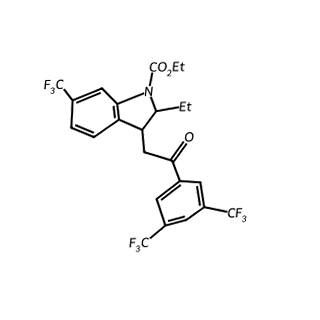 CCOC(=O)N1c2cc(C(F)(F)F)ccc2C(CC(=O)c2cc(C(F)(F)F)cc(C(F)(F)F)c2)C1CC